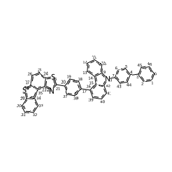 c1ccc(-c2ccc(-n3c4ccccc4c4c(-c5ccc(-c6nc7c(ccc8sc9ccccc9c87)s6)cc5)cccc43)cc2)cc1